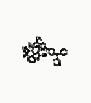 CC1=C(C(=O)O)C(c2cccnc2C(F)(F)F)C(C(=O)O)C(C)(CC(C)c2ccc(N3CCN(C(c4ccccc4)c4ccccc4)CC3)cc2)N1